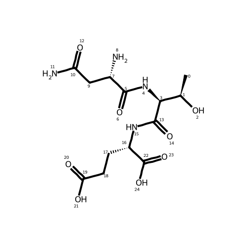 C[C@@H](O)[C@H](NC(=O)[C@@H](N)CC(N)=O)C(=O)N[C@@H](CCC(=O)O)C(=O)O